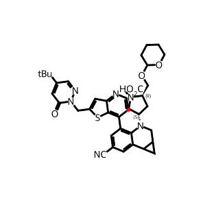 CC(C)(C)c1cnn(Cc2cc3nccc(-c4cc(C#N)cc5c4N([C@H]4C[C@H](COC6CCCCO6)N(C(=O)O)C4)CC4CC54)c3s2)c(=O)c1